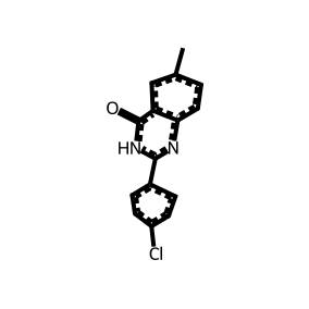 Cc1ccc2nc(-c3ccc(Cl)cc3)[nH]c(=O)c2c1